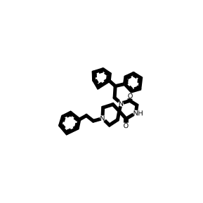 O=C1CNC(=O)C2(CCN(CCc3ccccc3)CC2)N1CC(c1ccccc1)c1ccccc1